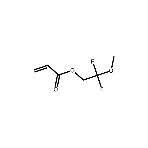 C=CC(=O)OCC(F)(F)OC